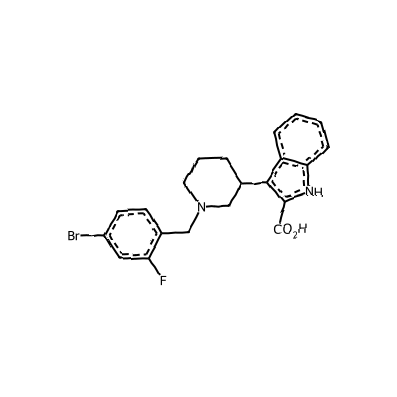 O=C(O)c1[nH]c2ccccc2c1C1CCCN(Cc2ccc(Br)cc2F)C1